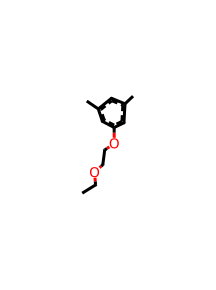 CCOCCOc1cc(C)cc(C)c1